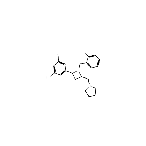 Brc1cc(Br)cc(C2CC(CN3CCCC3)N2Cc2ccccc2Br)c1